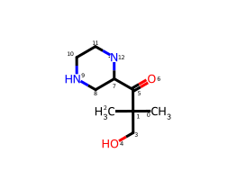 CC(C)(CO)C(=O)C1CNCC[N]1